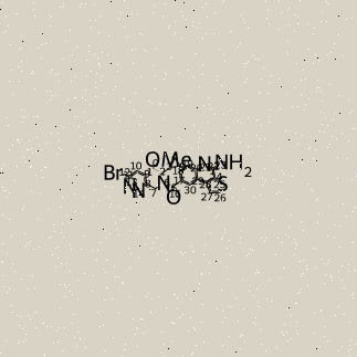 COC[C@H](C1CC1)N(Cc1ccc(Br)nn1)C(=O)c1ccc2nc(N)c3sccc3c2c1